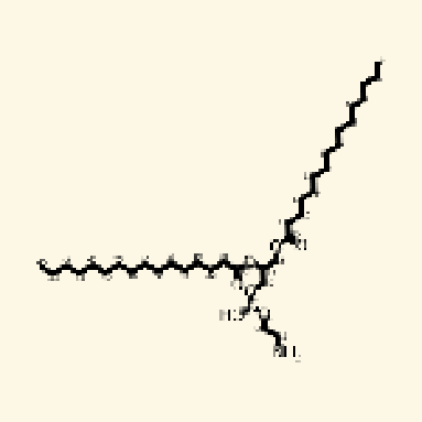 CCCCCCCCCCCCCCCC(=O)OCC(COP(O)OCCN)OC(=O)CCCCCCCCCCCCCCC